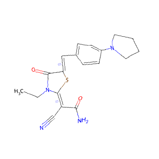 CCn1c(=O)/c(=C/c2ccc(N3CCCC3)cc2)s/c1=C(/C#N)C(N)=O